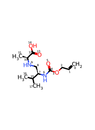 C=CCOC(=O)N[C@H](CN[C@@H](C)C(=O)O)C(C)C